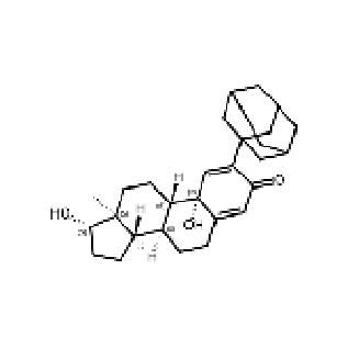 C[C@]12CC[C@H]3[C@@H](CCC4=CC(=O)C(C56CC7CC(CC(C7)C5)C6)=C[C@@]43O)[C@@H]1CC[C@@H]2O